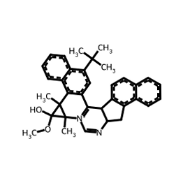 COC1(O)C2(C)c3c(cc(C(C)(C)C)c4ccccc34)C3=[N+](C=NC4Cc5c(ccc6ccccc56)C34)C12C